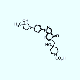 CC1(O)CCN(c2ccc(-n3ncc4c(=O)n(CC5(O)CCN(C(=O)O)CC5)cnc43)cc2)C1